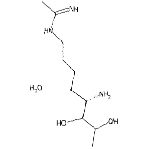 CC(=N)NCCCC[C@H](N)C(O)C(C)O.O